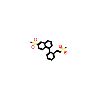 CS(=O)(=O)/C=C/c1ccccc1-c1cccc2cc(S(C)(=O)=O)ccc12